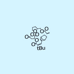 C=CC(=O)OCC1CCCO1.CC(C)(C)C(=CC1=CC2CCC1C2)C(=O)OC1CC(=O)OC1=O